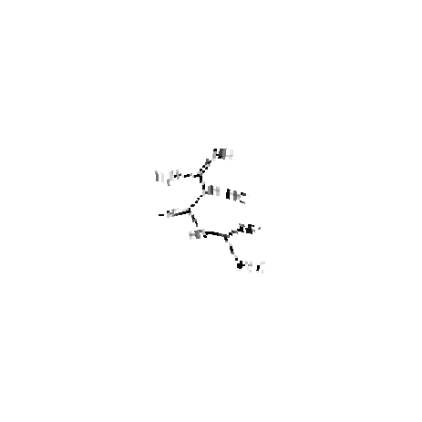 CCCCCC(CCC)NC(=N)NC(=N)N.Cl